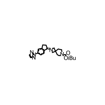 CC(C)COC(=O)N1CCC2(CC1)CN([C@@H]1CCc3cc(-n4nccn4)ccc31)C2